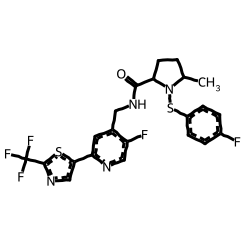 CC1CCC(C(=O)NCc2cc(-c3cnc(C(F)(F)F)s3)ncc2F)N1Sc1ccc(F)cc1